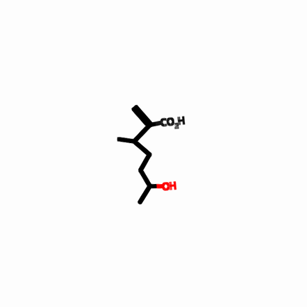 C=C(C(=O)O)C(C)CCC(C)O